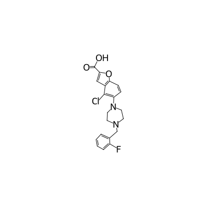 O=C(O)c1cc2c(Cl)c(N3CCN(Cc4ccccc4F)CC3)ccc2o1